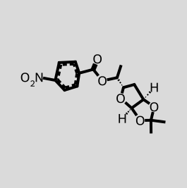 CC(OC(=O)c1ccc([N+](=O)[O-])cc1)[C@@H]1C[C@H]2OC(C)(C)O[C@H]2O1